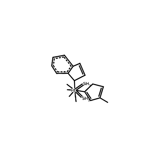 CC1=CC[C]([Hf]([CH3])([CH3])([CH3])([CH3])(=[SiH2])(=[SiH2])[CH]2C=Cc3ccccc32)=C1